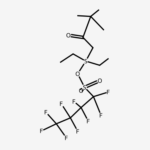 CCS(CC)(CC(=O)C(C)(C)C)OS(=O)(=O)C(F)(F)C(F)(F)C(F)(F)C(F)(F)F